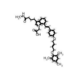 CNC(=O)CCCc1cn(CC(=O)O)c2c(C=Cc3ccc(OCC=CCOc4c(C)cc(C)cc4C)cc3)cccc12